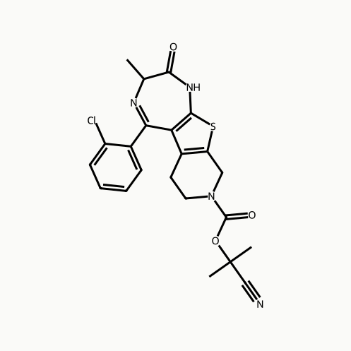 CC1N=C(c2ccccc2Cl)c2c(sc3c2CCN(C(=O)OC(C)(C)C#N)C3)NC1=O